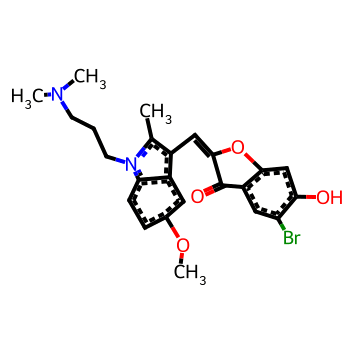 COc1ccc2c(c1)c(C=C1Oc3cc(O)c(Br)cc3C1=O)c(C)n2CCCN(C)C